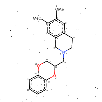 COc1cc2c(cc1OC)CN(CC1COc3ccccc3O1)CC2